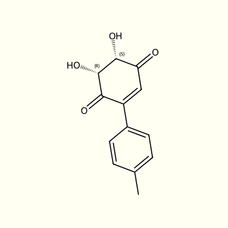 Cc1ccc(C2=CC(=O)[C@@H](O)[C@@H](O)C2=O)cc1